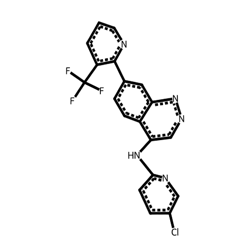 FC(F)(F)c1cccnc1-c1ccc2c(Nc3ccc(Cl)cn3)cnnc2c1